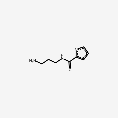 NCCCNC(=O)c1ccco1